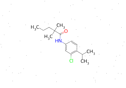 CCCC(C)(C)C(=O)Nc1ccc(C(C)C)c(Cl)c1